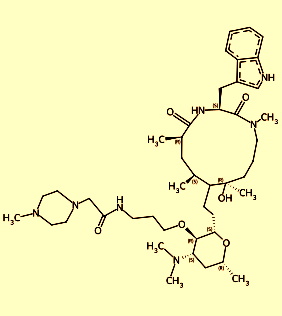 C[C@@H]1C[C@H](N(C)C)[C@@H](OCCCNC(=O)CN2CCN(C)CC2)[C@H](CCC2[C@@H](C)C[C@@H](C)C(=O)N[C@@H](Cc3c[nH]c4ccccc34)C(=O)N(C)CCC[C@@]2(C)O)O1